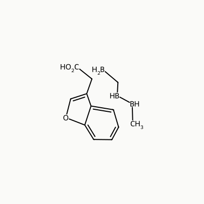 BCBBC.O=C(O)Cc1coc2ccccc12